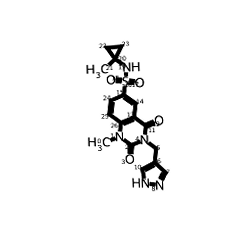 Cn1c(=O)n(Cc2cn[nH]c2)c(=O)c2cc(S(=O)(=O)NC3(C)CC3)ccc21